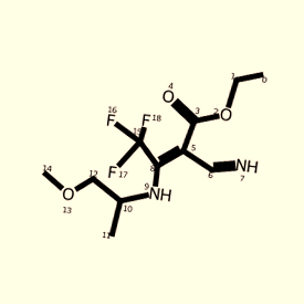 CCOC(=O)/C(C=N)=C(/NC(C)COC)C(F)(F)F